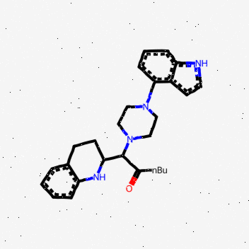 CCCCC(=O)C(C1CCc2ccccc2N1)N1CCN(c2cccc3[nH]ccc23)CC1